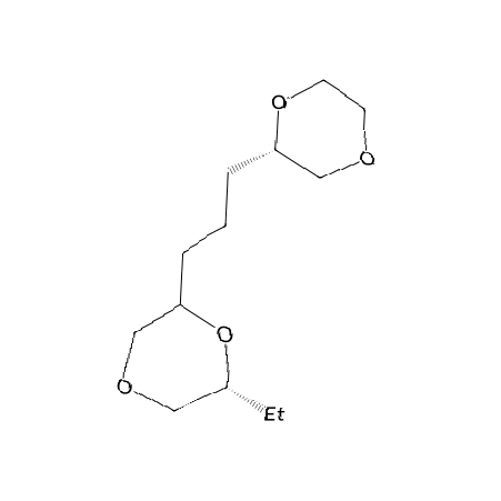 CC[C@@H]1COCC(CCC[C@H]2COCCO2)O1